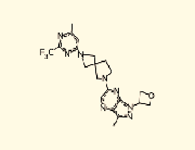 Cc1cc(N2CC3(CCN(c4cnc5c(C)nn(C6COC6)c5n4)C3)C2)nc(C(F)(F)F)n1